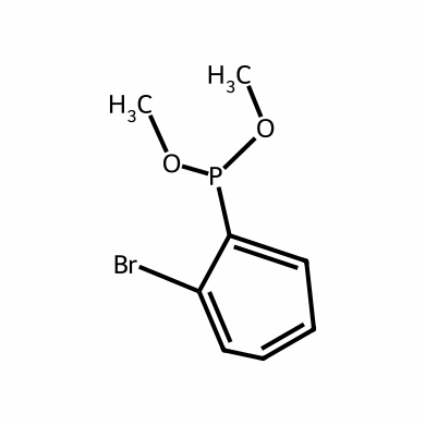 COP(OC)c1ccccc1Br